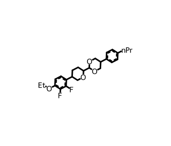 CCCc1ccc(C2COC(C3CCC(c4ccc(OCC)c(F)c4F)CO3)OC2)cc1